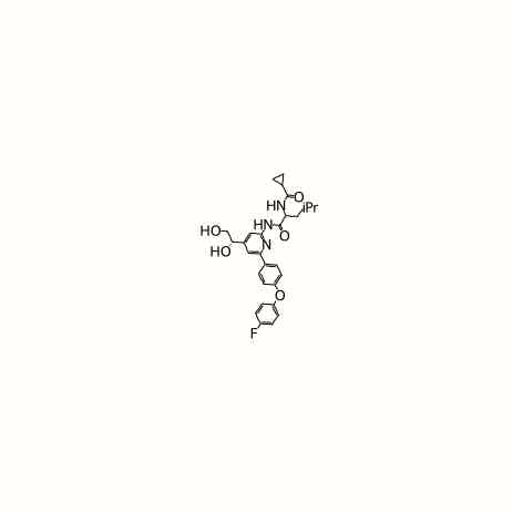 CC(C)CC(NC(=O)C1CC1)C(=O)Nc1cc([C@H](O)CO)cc(-c2ccc(Oc3ccc(F)cc3)cc2)n1